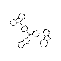 C1=Cc2oc3cccc(-c4ccc(N(c5ccc(-n6c7ccccc7c7ccccc76)cc5)c5ccc6ccccc6c5)cc4)c3c2C=CC1